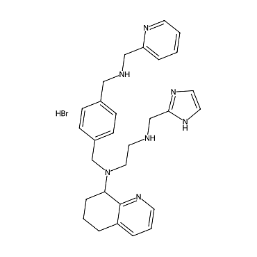 Br.c1ccc(CNCc2ccc(CN(CCNCc3ncc[nH]3)C3CCCc4cccnc43)cc2)nc1